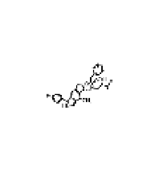 C[C@H]1C2=CNN(c3ccc(F)cc3)C2=CC2=C1[C@@H](CN(CC(O)C(F)F)S(=O)(=O)Cc1cccnc1)CC2